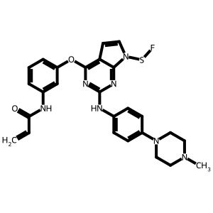 C=CC(=O)Nc1cccc(Oc2nc(Nc3ccc(N4CCN(C)CC4)cc3)nc3c2ccn3SF)c1